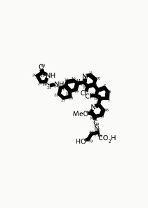 COc1nc(-c2cccc(-c3ccnc(-c4ccc5c(c4)CCC[C@H]5NC[C@@H]4CCC(=O)N4)c3Cl)c2Cl)ccc1CN[C@@H](CCO)C(=O)O